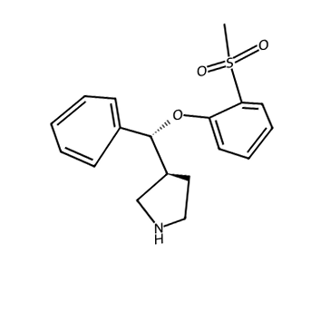 CS(=O)(=O)c1ccccc1O[C@@H](c1ccccc1)[C@H]1CCNC1